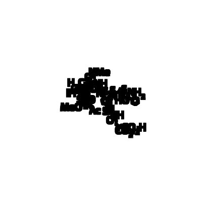 CNC(=O)C[C@H](NC(=O)c1csc(-c2ccc(-c3nc(NC(=O)CC[C@@H](CC(=O)O)C(=O)O)cs3)nc2-c2csc(-c3csc([C@@H](N)[C@@H](O)c4ccccc4)n3)n2)n1)c1nc(C(=O)N[C@H](c2nc(C(=O)NCC(C)=O)c(COC)s2)C(C)C)c(C)s1